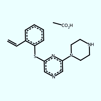 C=Cc1ccccc1Sc1cncc(N2CCNCC2)n1.CC(=O)O